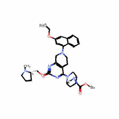 COCOc1cc(N2CCc3c(nc(OC[C@@H]4CCCN4C)nc3N3CC4CCC3CN4C(=O)OC(C)(C)C)C2)c2ccccc2c1